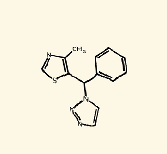 Cc1ncsc1C(c1ccccc1)n1ccnn1